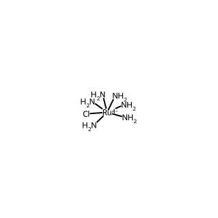 [NH2][Ru-4]([NH2])([NH2])([NH2])([NH2])([NH2])[Cl]